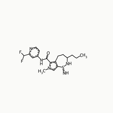 CCCC1CCc2c(cn(C)c2C(=O)Nc2ccnc(C(F)F)c2)S(=N)N1